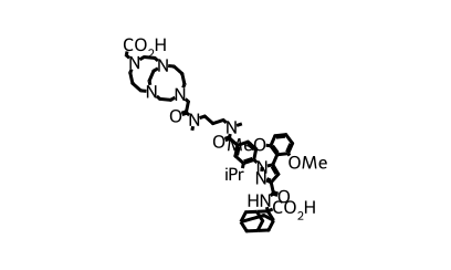 COc1cccc(OC)c1-c1cc(C(=O)NC2(C(=O)O)C3CC4CC(C3)CC2C4)nn1-c1ccc(C(=O)N(C)CCCN(C)C(=O)CN2CCCN3CCN(CCCN(CC(=O)O)CC3)CC2)cc1C(C)C